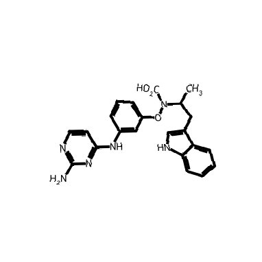 CC(Cc1c[nH]c2ccccc12)N(Oc1cccc(Nc2ccnc(N)n2)c1)C(=O)O